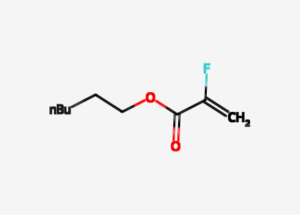 C=C(F)C(=O)OCCCCCC